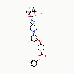 CC(C)(C)OC(=O)N1CC2(CCN(c3cc(F)cc(OC4CCN(C(=O)OCc5ccccc5)CC4)c3)CC2)C1